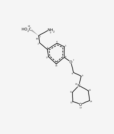 N[C@H](Cc1ccc(OCCN2CCOCC2)cc1)C(=O)O